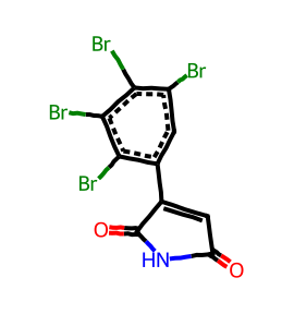 O=C1C=C(c2cc(Br)c(Br)c(Br)c2Br)C(=O)N1